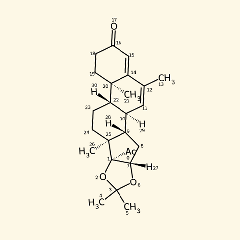 CC(=O)[C@@]12OC(C)(C)O[C@H]1C[C@H]1[C@@H]3C=C(C)C4=CC(=O)CC[C@]4(C)[C@H]3CC[C@@]12C